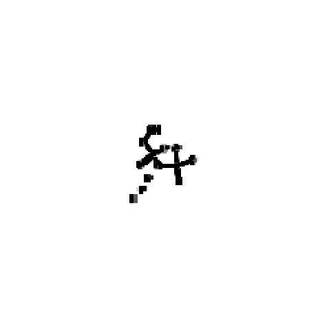 O=P([O-])([O-])OP(=O)([O-])OO.[H+].[H+].[K+]